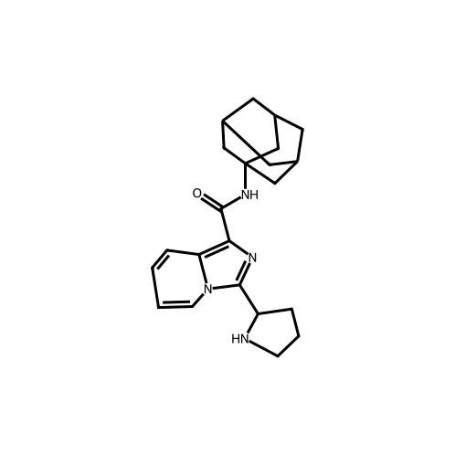 O=C(NC12CC3CC(CC(C3)C1)C2)c1nc(C2CCCN2)n2ccccc12